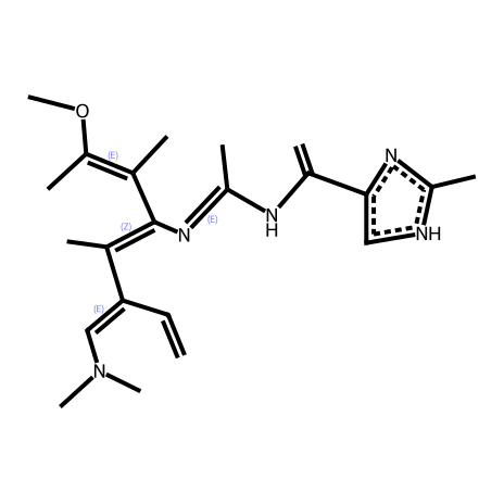 C=CC(=C\N(C)C)/C(C)=C(\N=C(/C)NC(=C)c1c[nH]c(C)n1)C(/C)=C(\C)OC